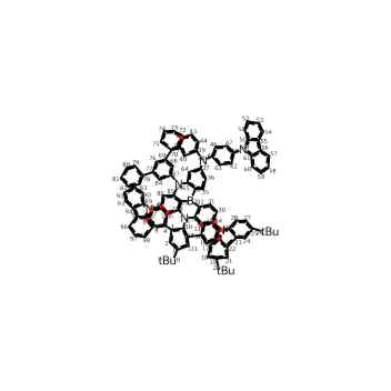 CC(C)(C)c1cc(-c2ccccc2)c(N2c3cc(-n4c5ccc(C(C)(C)C)cc5c5cc(C(C)(C)C)ccc54)ccc3B3c4ccc(N(c5ccccc5)c5ccc(-n6c7ccccc7c7ccccc76)cc5)cc4N(c4cc(-c5ccccc5)cc(-c5ccccc5)c4)c4cc(-n5c6ccccc6c6ccccc65)cc2c43)c(-c2ccccc2)c1